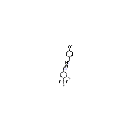 COc1ccc(/C=N/N=C/c2ccc(C(F)(F)F)c(F)c2)cc1